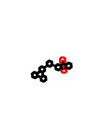 O=c1c2ccccc2oc2ccc(-c3cccc(-c4ccc5c6ccccc6c6ccccc6c5c4)c3)cc12